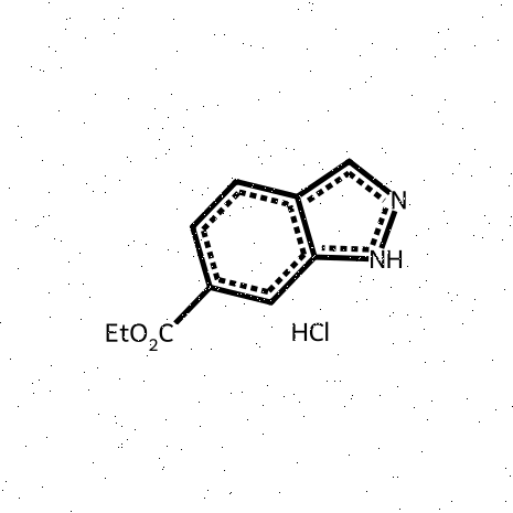 CCOC(=O)c1ccc2cn[nH]c2c1.Cl